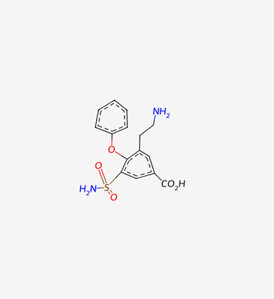 NCCc1cc(C(=O)O)cc(S(N)(=O)=O)c1Oc1ccccc1